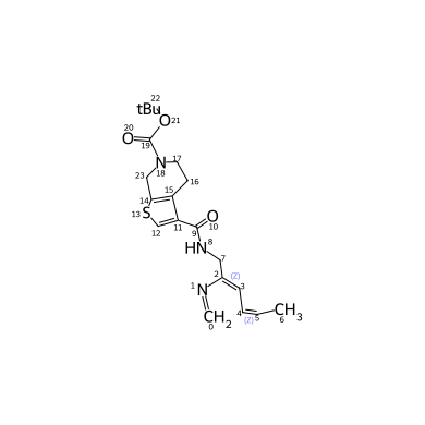 C=N/C(=C\C=C/C)CNC(=O)c1csc2c1CCN(C(=O)OC(C)(C)C)C2